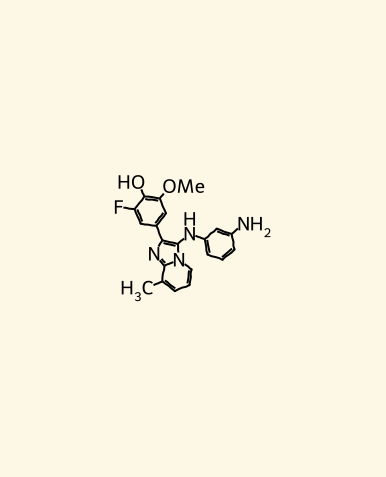 COc1cc(-c2nc3c(C)cccn3c2Nc2cccc(N)c2)cc(F)c1O